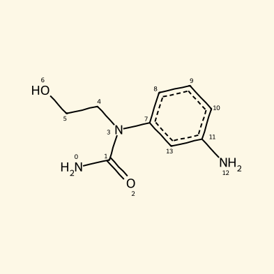 NC(=O)N(CCO)c1cccc(N)c1